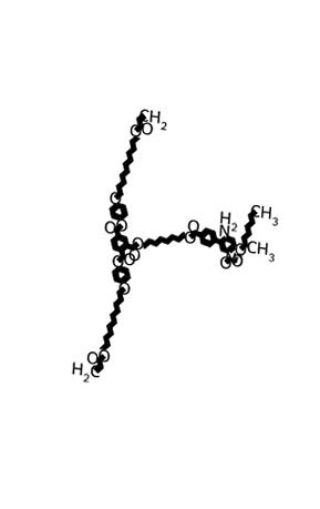 C=CC(=O)OCCCCCCCCCCCOc1ccc(OC(=O)c2ccc(C(=O)Oc3ccc(OCCCCCCCCCCCOC(=O)C=C)cc3)c(C(=O)OCCCCCCCCOC(=O)c3ccc(-c4cc([N+](=O)[O-])c(O[C@@H](C)CCCCCC)cc4N)cc3)c2)cc1